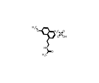 COc1ccc2cccc(CCNC(C)=O)c2c1.CS(=O)(=O)O